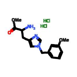 COC(=O)C(N)Cc1cn(Cc2cccc(OC)c2)cn1.Cl.Cl